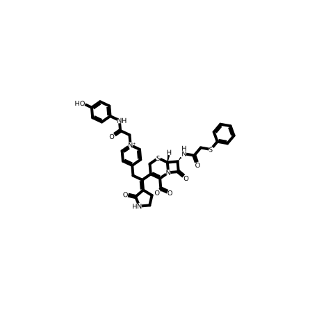 O=C(C[n+]1ccc(CC(=C2CCNC2=O)C2=C(C(=O)[O-])N3C(=O)[C@@H](NC(=O)CSc4ccccc4)[C@H]3SC2)cc1)Nc1ccc(O)cc1